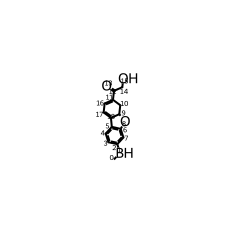 CBc1ccc2c(c1)OC1CC(C(=O)CO)=CC=C21